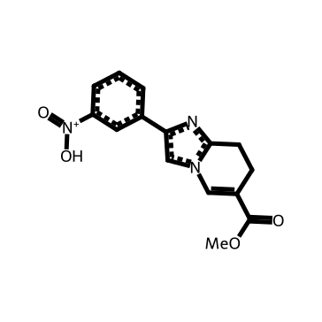 COC(=O)C1=Cn2cc(-c3cccc([N+](=O)O)c3)nc2CC1